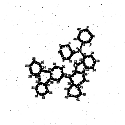 c1ccc(N(c2ccccc2)c2cccc3c2oc2c(-c4ccc5c6ccccc6c6ccccc6c5c4)c4ccccc4cc23)cc1